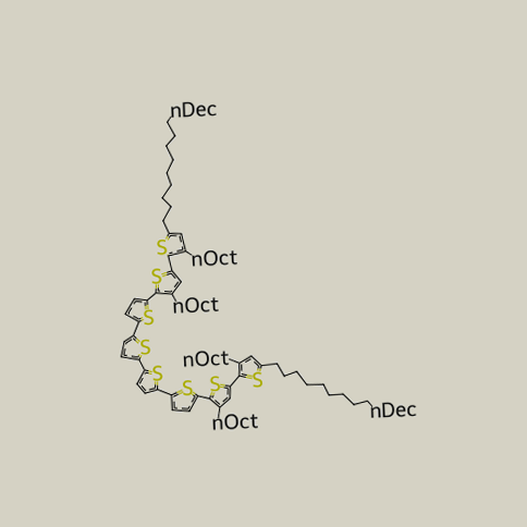 CCCCCCCCCCCCCCCCCCCc1cc(CCCCCCCC)c(-c2cc(CCCCCCCC)c(-c3ccc(-c4ccc(-c5ccc(-c6ccc(-c7sc(-c8sc(CCCCCCCCCCCCCCCCCCC)cc8CCCCCCCC)cc7CCCCCCCC)s6)s5)s4)s3)s2)s1